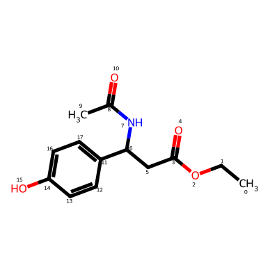 CCOC(=O)CC(NC(C)=O)c1ccc(O)cc1